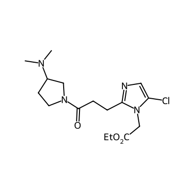 CCOC(=O)Cn1c(Cl)cnc1CCC(=O)N1CCC(N(C)C)C1